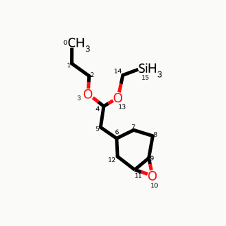 CCCOC(CC1CCC2OC2C1)OC[SiH3]